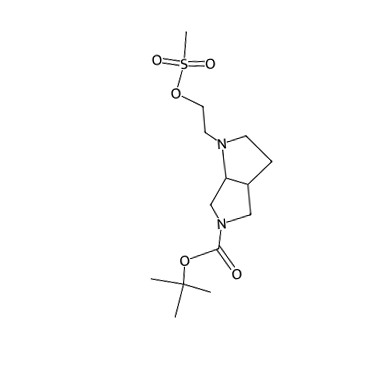 CC(C)(C)OC(=O)N1CC2CCN(CCOS(C)(=O)=O)C2C1